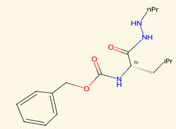 CCCNNC(=O)[C@H](CC(C)C)NC(=O)OCc1ccccc1